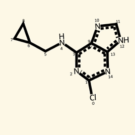 Clc1nc(NCC2CC2)c2nc[nH]c2n1